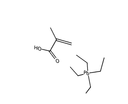 C=C(C)C(=O)O.C[CH2][Pb]([CH2]C)([CH2]C)[CH2]C